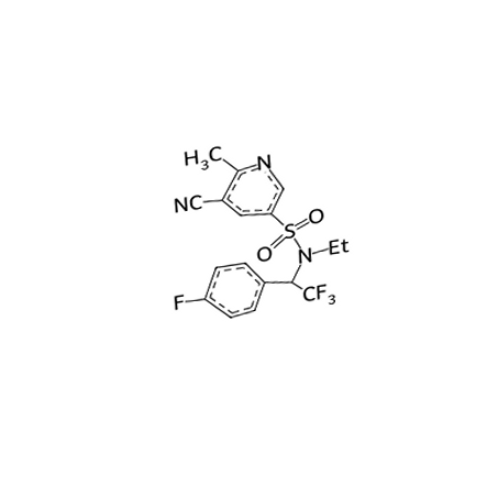 CCN(C(c1ccc(F)cc1)C(F)(F)F)S(=O)(=O)c1cnc(C)c(C#N)c1